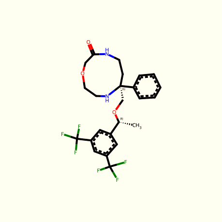 C[C@@H](OC[C@@]1(c2ccccc2)CCNC(=O)COCCN1)c1cc(C(F)(F)F)cc(C(F)(F)F)c1